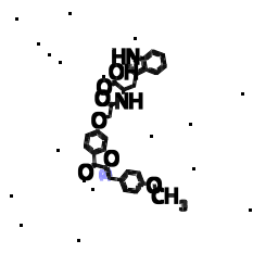 COc1ccc(/C=C2\Oc3cc(OCC(=O)NC(Cc4c[nH]c5ccccc45)C(=O)O)ccc3C2=O)cc1